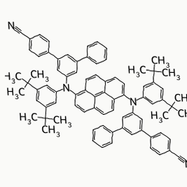 CC(C)(C)c1cc(N(c2cc(-c3ccccc3)cc(-c3ccc(C#N)cc3)c2)c2ccc3ccc4c(N(c5cc(-c6ccccc6)cc(-c6ccc(C#N)cc6)c5)c5cc(C(C)(C)C)cc(C(C)(C)C)c5)ccc5ccc2c3c54)cc(C(C)(C)C)c1